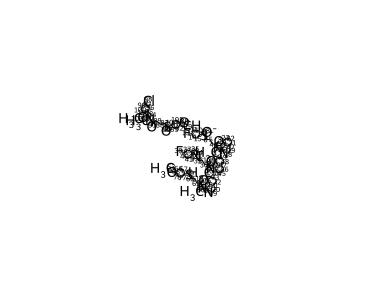 CN(C(=O)CCC[S+]([O-])c1ccc(F)cc1)c1nccc2ccccc12.CN(C(=O)CCCn1ccc2cc(F)ccc21)c1cccc2ccccc12.COc1ccc(SCCCC(=O)N(C)c2nccc3ccccc23)cc1.COc1ccc([S+]([O-])CCCC(=O)N(C)Cc2cc(Cl)ccc2OC)cc1